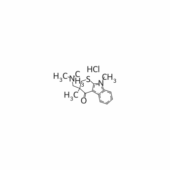 CN(C)CC1(C)CSc2c(c3ccccc3n2C)C1=O.Cl